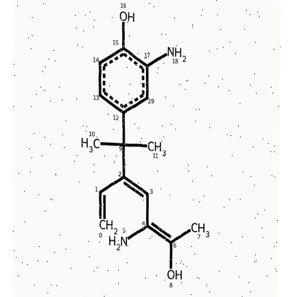 C=C/C(=C\C(N)=C(/C)O)C(C)(C)c1ccc(O)c(N)c1